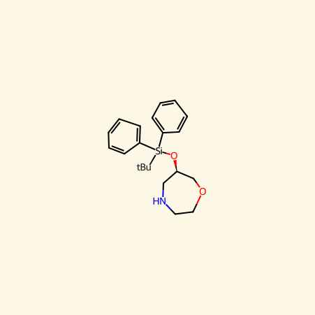 CC(C)(C)[Si](O[C@@H]1CNCCOC1)(c1ccccc1)c1ccccc1